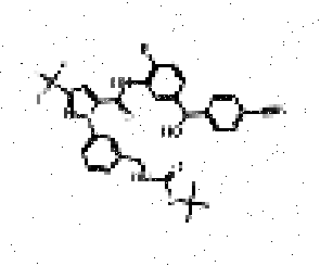 CC(C)(C)OC(=O)NCc1cccc(-n2nc(C(F)(F)F)cc2C(=O)Nc2cc(C(O)c3ccc(C#N)cc3)ccc2F)c1